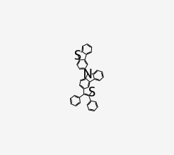 c1ccc(-c2sc3c(ccc4c3c3ccccc3n4-c3ccc4sc5ccccc5c4c3)c2-c2ccccc2)cc1